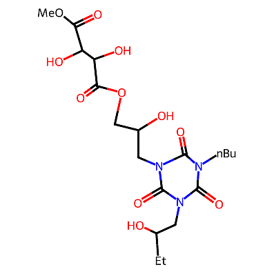 CCCCn1c(=O)n(CC(O)CC)c(=O)n(CC(O)COC(=O)C(O)C(O)C(=O)OC)c1=O